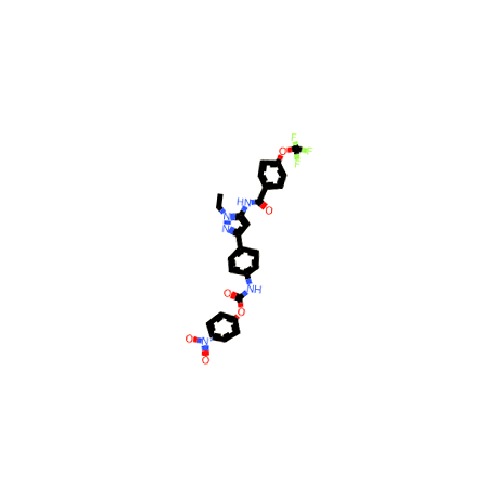 CCn1nc(-c2ccc(NC(=O)Oc3ccc([N+](=O)[O-])cc3)cc2)cc1NC(=O)c1ccc(OC(F)(F)F)cc1